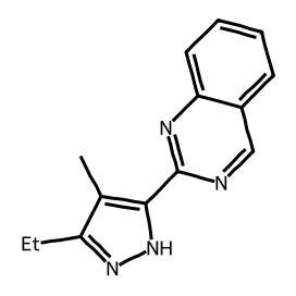 CCc1n[nH]c(-c2ncc3ccccc3n2)c1C